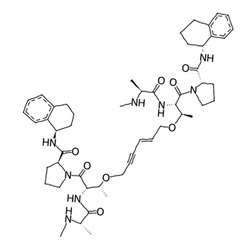 CN[C@@H](C)C(=O)N[C@H](C(=O)N1CCC[C@H]1C(=O)N[C@@H]1CCCc2ccccc21)[C@@H](C)OCC#CC=CCO[C@H](C)[C@H](NC(=O)[C@H](C)NC)C(=O)N1CCC[C@H]1C(=O)N[C@@H]1CCCc2ccccc21